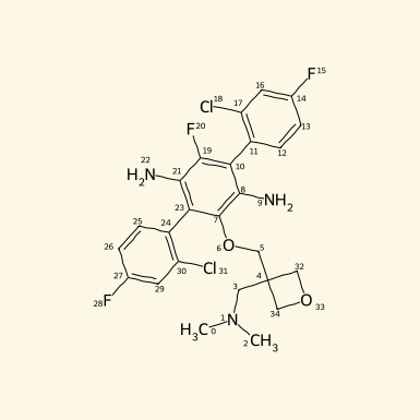 CN(C)CC1(COc2c(N)c(-c3ccc(F)cc3Cl)c(F)c(N)c2-c2ccc(F)cc2Cl)COC1